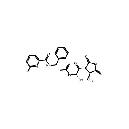 CC(C)[C@H](NC(=O)C[C@H](NC(=O)c1cccc(F)n1)c1ccccc1)C(=O)[C@@H]1C(=O)NC(=O)[C@H]1C